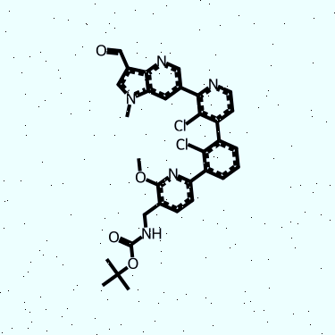 COc1nc(-c2cccc(-c3ccnc(-c4cnc5c(C=O)cn(C)c5c4)c3Cl)c2Cl)ccc1CNC(=O)OC(C)(C)C